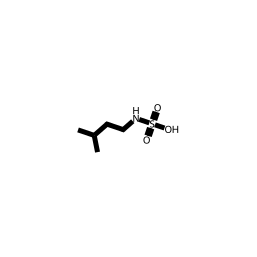 CC(C)CCNS(=O)(=O)O